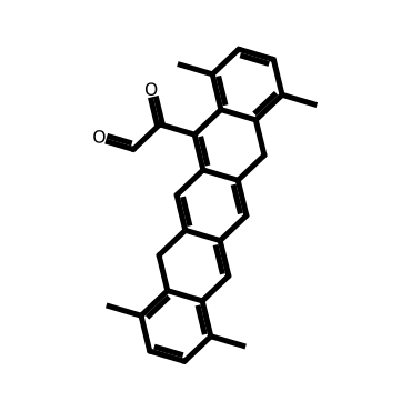 Cc1ccc(C)c2c1C=c1cc3c(cc1C2)=C(C(=O)C=O)c1c(C)ccc(C)c1C3